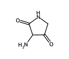 NC1C(=O)CNC1=O